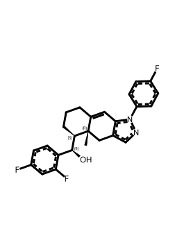 C[C@]12Cc3cnn(-c4ccc(F)cc4)c3C=C1CCC[C@@H]2[C@@H](O)c1ccc(F)cc1F